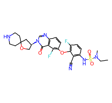 CCN(C)S(=O)(=O)Nc1ccc(F)c(Oc2ccc3ncn([C@H]4COC5(CCNCC5)C4)c(=O)c3c2F)c1C#N